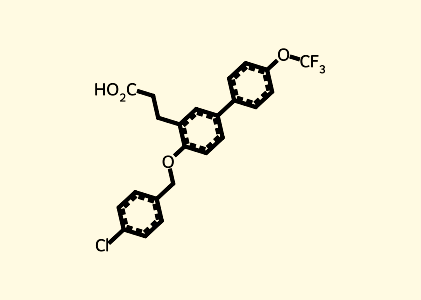 O=C(O)CCc1cc(-c2ccc(OC(F)(F)F)cc2)ccc1OCc1ccc(Cl)cc1